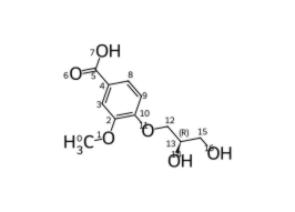 COc1cc(C(=O)O)ccc1OC[C@H](O)CO